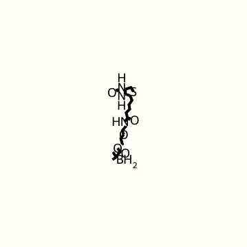 BC(C)(C)C(=O)OCCOCCNC(=O)CCCCC1SCC2NC(=O)NC21